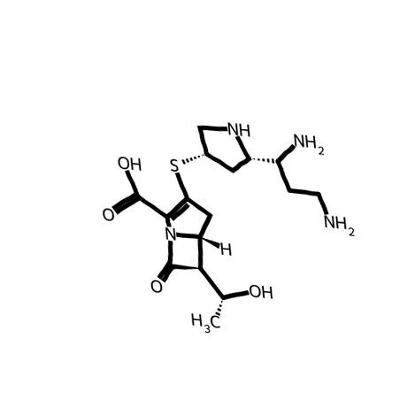 C[C@@H](O)[C@H]1C(=O)N2C(C(=O)O)=C(S[C@@H]3CN[C@H](C(N)CCN)C3)C[C@H]12